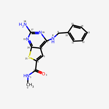 CNC(=O)c1cc2c(NCc3ccccc3)nc(N)nc2s1